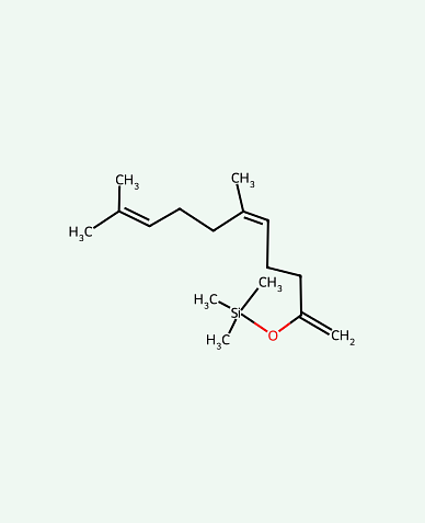 C=C(CCC=C(C)CCC=C(C)C)O[Si](C)(C)C